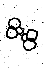 C1CCCC(O[Si](OC2CCCCCCC2)(C2CCCCCCC2)C2CCCCCCC2)CCC1